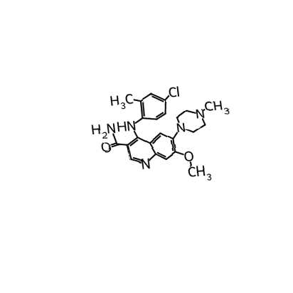 COc1cc2ncc(C(N)=O)c(Nc3ccc(Cl)cc3C)c2cc1N1CCN(C)CC1